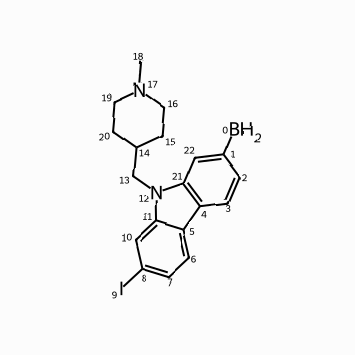 Bc1ccc2c3ccc(I)cc3n(CC3CCN(C)CC3)c2c1